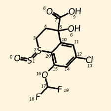 O=S=S1CCC(O)(C(=O)O)c2cc(Cl)cc(OC(F)F)c21